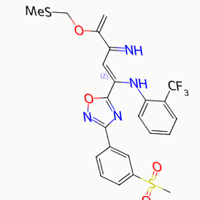 C=C(OCSC)C(=N)/C=C(\Nc1ccccc1C(F)(F)F)c1nc(-c2cccc(S(C)(=O)=O)c2)no1